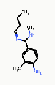 CCC/C=N\C(NC)c1ccc(N)c(C)c1